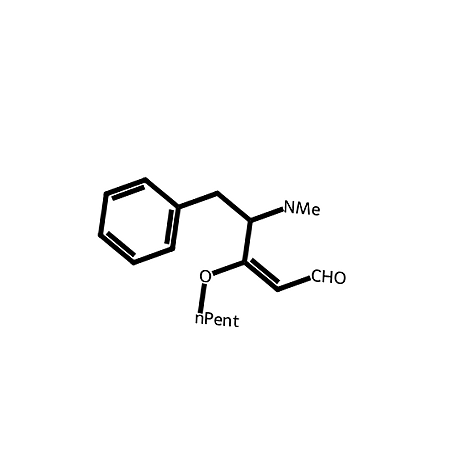 CCCCCO/C(=C/C=O)C(Cc1ccccc1)NC